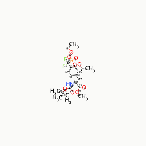 CCOOP(=O)(OOCC)C(F)(F)c1ccc(CC(NC(=O)OC(C)(C)C)C(=O)OC)cc1